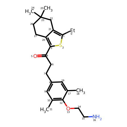 CCc1sc(C(=O)CCc2cc(C)c(OCCN)c(C)c2)c2c1CC(C)(C)CC2